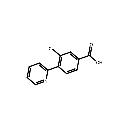 O=C(O)c1ccc(-c2cc[c]cn2)c(Cl)c1